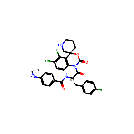 O=C(O)Nc1ccc(C(=O)N[C@@H](Cc2ccc(F)cc2)C(=O)N2C(=O)O[C@]3(CCCNC3)c3c2ccc(Cl)c3F)cc1